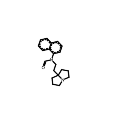 O=CN(CCC12CCCN1CCC2)c1cccc2ccccc12